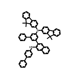 CC1(C)c2ccccc2-c2ccc(N(c3cc(-c4ccccc4)cc(-c4cc5ccccc5cc4Nc4ccc(-c5ccccc5)cc4)c3)c3ccc4c(c3)C(C)(C)c3ccccc3-4)cc21